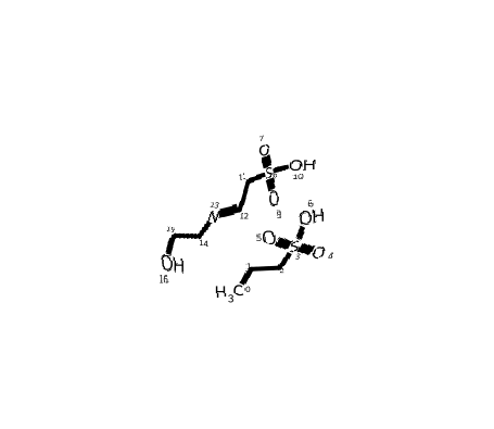 CCCS(=O)(=O)O.O=S(=O)(O)CC=NCCO